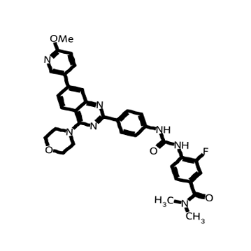 COc1ccc(-c2ccc3c(N4CCOCC4)nc(-c4ccc(NC(=O)Nc5ccc(C(=O)N(C)C)cc5F)cc4)nc3c2)cn1